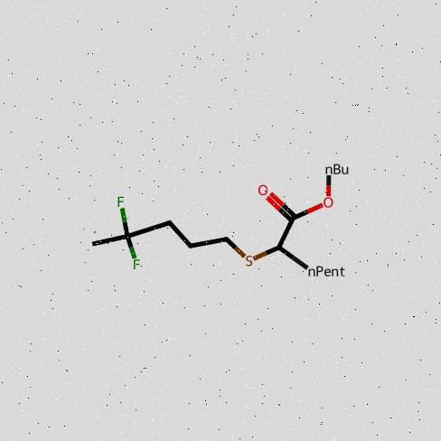 CCCCCC(SCCCC(C)(F)F)C(=O)OCCCC